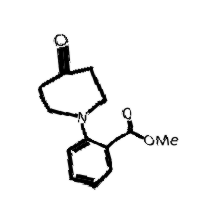 COC(=O)c1ccccc1N1CCC(=O)CC1